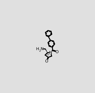 NC[C@@H]1CC(=O)CN1C(=O)c1ccc(-c2ccccc2)cc1